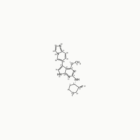 COc1nc(N[C@H]2CCOC[C@@H]2F)nc2[nH]cc(-c3ccc4nccn4c3)c12